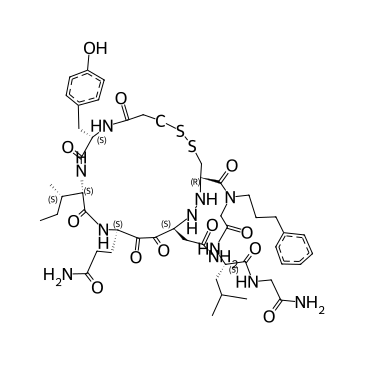 CC[C@H](C)[C@@H]1NC(=O)[C@H](Cc2ccc(O)cc2)NC(=O)CCSSC[C@@H](C(=O)N(CCCc2ccccc2)CC(=O)N[C@@H](CC(C)C)C(=O)NCC(N)=O)NN[C@@H](CC(N)=O)C(=O)C(=O)[C@H](CCC(N)=O)NC1=O